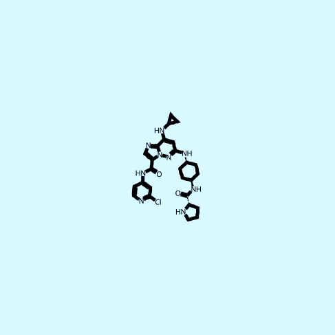 O=C(Nc1ccnc(Cl)c1)c1cnc2c(NC3CC3)cc(N[C@H]3CC[C@H](NC(=O)[C@@H]4CCCN4)CC3)nn12